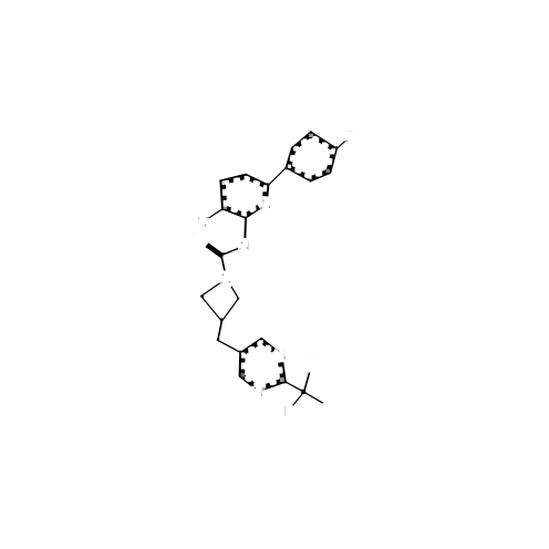 CC(F)(F)c1ncc(CC2CN(C(=O)Nc3nc(-c4ccc(F)cc4)ccc3N)C2)cn1